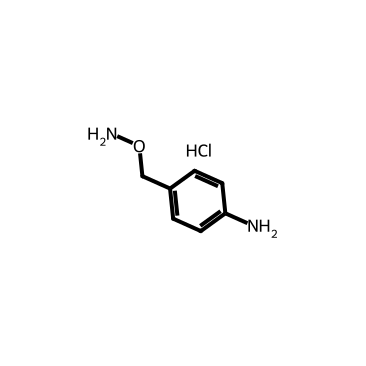 Cl.NOCc1ccc(N)cc1